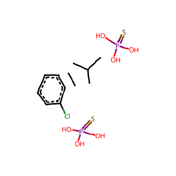 CC.CC(C)C.Clc1ccccc1.OP(O)(O)=S.OP(O)(O)=S